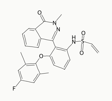 C=CS(=O)(=O)Nc1cccc(Oc2c(C)cc(F)cc2C)c1-c1nn(C)c(=O)c2ccccc12